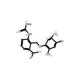 CCc1cc(C)c(OCc2c(NC(=O)OC)cccc2C(F)F)cc1C